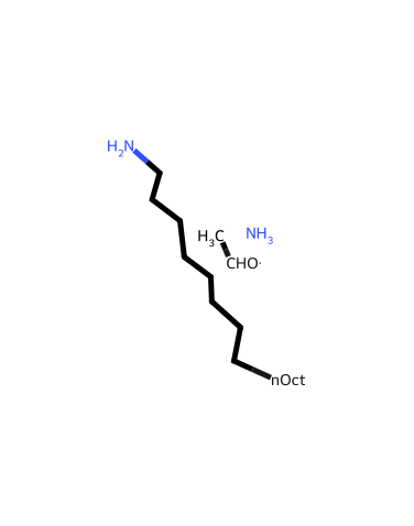 CCCCCCCCCCCCCCCCN.C[C]=O.N